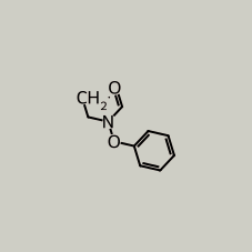 [CH2]CN(C=O)Oc1ccccc1